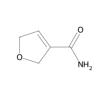 NC(=O)C1=CCOC1